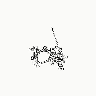 CCCCCCCCCCCCCCCC(=O)NCC(=O)C(=O)N[C@@H](CO)C(=O)N[C@@H](CO)C(=O)N[C@@H](Cc1ccc(O)cc1)C(=O)N[C@H](C(=O)N[C@@H](CCCC)C(=O)N[C@H]1CCC(=O)NCCCC[C@@H](C(N)=O)NC(=O)[C@H](Cc2c[nH]c3ccccc23)NC(=O)[C@H](CCCNC(=N)N)NC(=O)[C@@H](Cc2ccccc2)NC(=O)[C@@H]2C[C@@H](O)CN2C1=O)C(C)O